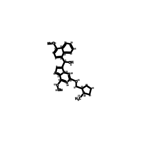 COc1ccc(C(O)c2cnc3c(OC(C)(C)C)nc(OCC4CCCN4C)nn23)c2ccccc12